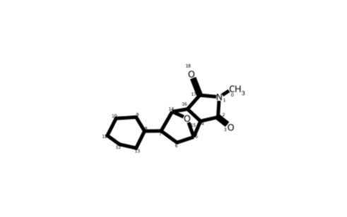 CN1C(=O)C2C3CC(C4CCCCC4)C(O3)C2C1=O